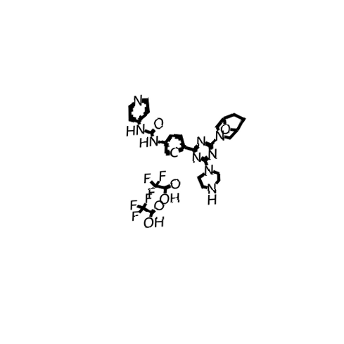 O=C(Nc1ccncc1)Nc1ccc(-c2nc(N3CCNCC3)nc(N3CC4CCC(C3)O4)n2)cc1.O=C(O)C(F)(F)F.O=C(O)C(F)(F)F